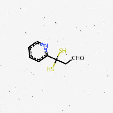 O=CCC(S)(S)c1ccccn1